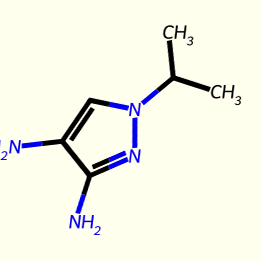 CC(C)n1cc(N)c(N)n1